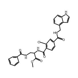 COC(=O)C(CNC(=O)c1ccccc1)NC(=O)c1ccc(C(=O)NCc2cccc3[nH]ccc23)cc1Cl